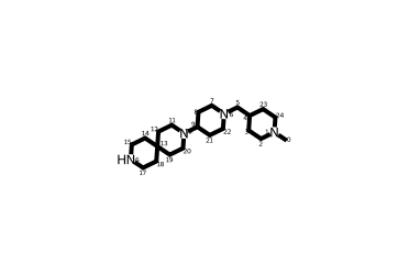 CN1CCC(CN2CCC(N3CCC4(CCNCC4)CC3)CC2)CC1